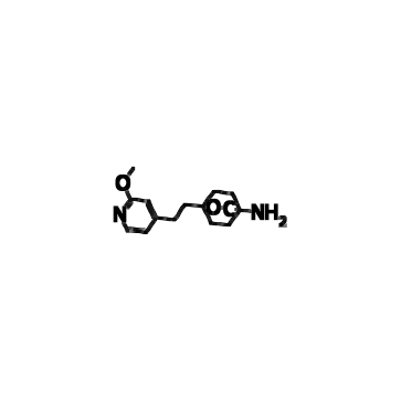 COc1cc(CCC23CCC(N)(CC2)CO3)ccn1